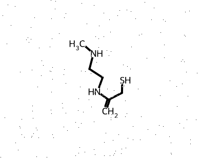 C=C(CS)NCCNC